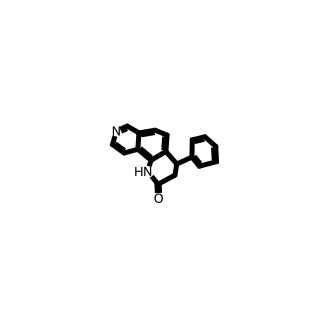 O=C1CC(c2ccccc2)c2ccc3cnccc3c2N1